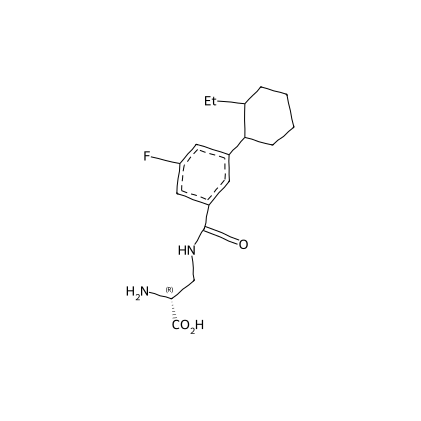 CCC1CCCCC1c1cc(F)cc(C(=O)NC[C@@H](N)C(=O)O)c1